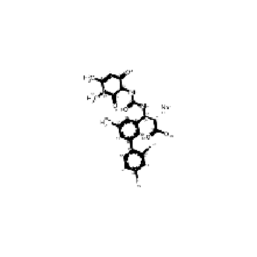 CC1=CC(=O)C(NC(=O)N[C@@H](CC(=O)[O-])c2cc(C)cc(-c3ccc(F)cc3F)c2)C(=O)N1C.[Na+]